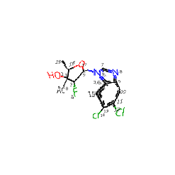 CC(=O)[C@]1(O)[C@H](F)[C@H](n2cnc3cc(Cl)c(Cl)cc32)O[C@@H]1C